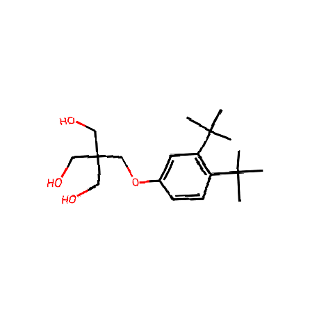 CC(C)(C)c1ccc(OCC(CO)(CO)CO)cc1C(C)(C)C